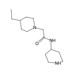 CCC1CCN(CC(=O)NC2CCNCC2)CC1